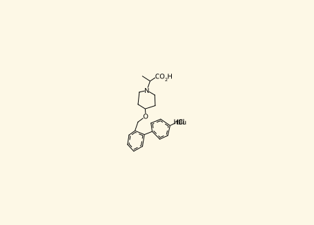 CC(C(=O)O)N1CCC(OCc2ccccc2-c2ccc(C(C)(C)C)cc2)CC1.Cl